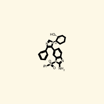 CC(C)S(=O)(=O)n1c(N)nc2ccc(-c3c(-c4ccccc4)ncn3[C@@H]3CCCC[C@H]3O)cc21